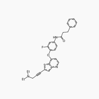 CCN(CC)CC#Cc1cc2nccc(Oc3ccc(NC(=O)CCc4ccccc4)cc3F)c2s1